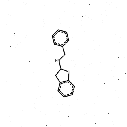 [CH](NC1Cc2ccccc2O1)c1ccccc1